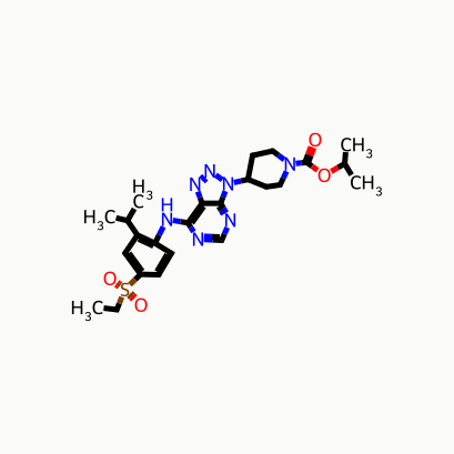 CCS(=O)(=O)c1ccc(Nc2ncnc3c2nnn3C2CCN(C(=O)OC(C)C)CC2)c(C(C)C)c1